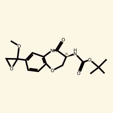 COC1(c2ccc3c(c2)NC(=O)[C@@H](NC(=O)OC(C)(C)C)CO3)CO1